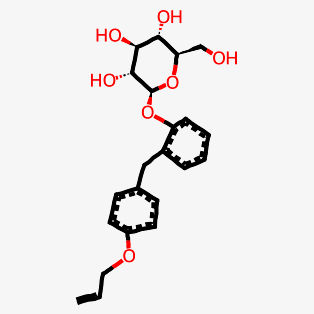 C=CCOc1ccc(Cc2ccccc2O[C@@H]2O[C@H](CO)[C@@H](O)[C@H](O)[C@H]2O)cc1